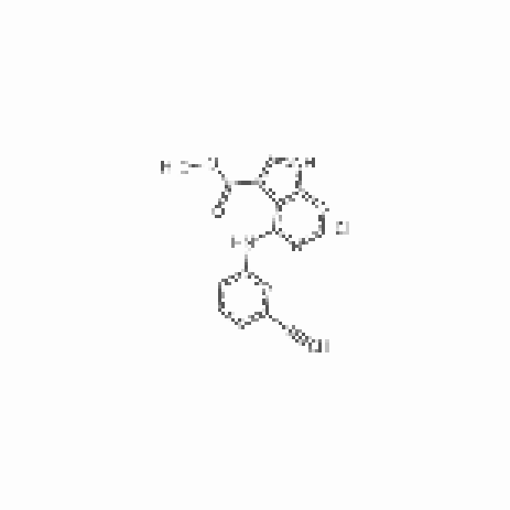 C#Cc1cccc(Nc2ncnc3[nH]cc(C(=O)OC)c23)c1.Cl